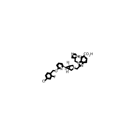 CCn1cncc1Cn1c(CN2C[C@@H]3[C@H](C2)[C@@H]3c2cccc(OCc3ccc(Cl)cc3F)n2)nc2ccc(C(=O)O)cc21